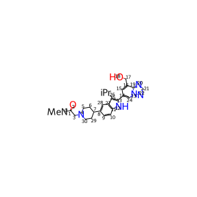 CNC(=O)CN1CCC(c2ccc3[nH]c(-c4cc(CO)c5ncnn5c4)c(C(C)C)c3c2)CC1